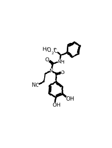 N#CCCN(C(=O)NC(C(=O)O)c1ccccc1)C(=O)c1ccc(O)c(O)c1